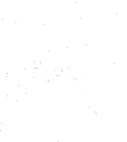 CCCCNCCc1ccc(OCc2ccccc2)cc1.Cl